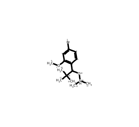 COc1cc(Br)ccc1C(O[SiH](C)C)C(C)(C)C